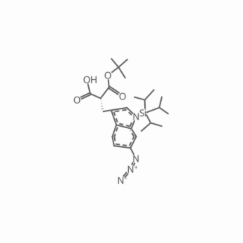 CC(C)[Si](C(C)C)(C(C)C)n1cc(C[C@H](C(=O)O)C(=O)OC(C)(C)C)c2ccc(N=[N+]=[N-])cc21